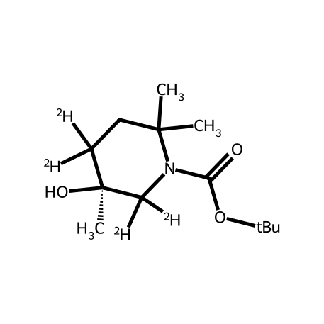 [2H]C1([2H])CC(C)(C)N(C(=O)OC(C)(C)C)C([2H])([2H])[C@@]1(C)O